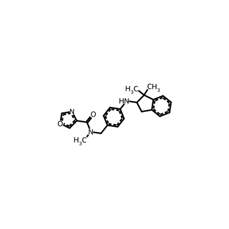 CN(Cc1ccc(NC2Cc3ccccc3C2(C)C)cc1)C(=O)c1cocn1